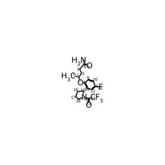 C[C@@H](CCC(N)=O)Oc1ccc(F)cc1[C@H]1CCCN1C(=O)C(F)(F)F